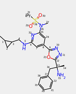 CC1CC1CNc1cc(-c2nnc([C@](C)(N)Cc3ccccc3)o2)cc(N(C)S(=O)(=O)C(C)C)n1